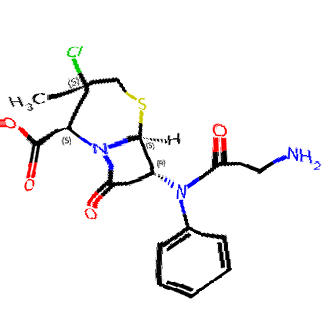 C[C@@]1(Cl)CS[C@H]2[C@H](N(C(=O)CN)c3ccccc3)C(=O)N2[C@H]1C(=O)O